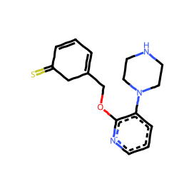 S=C1C=CC=C(COc2ncccc2N2CCNCC2)C1